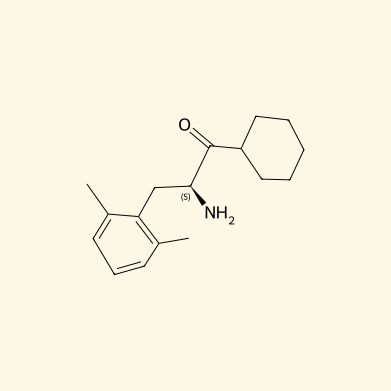 Cc1cccc(C)c1C[C@H](N)C(=O)C1CCCCC1